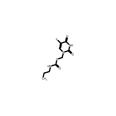 CCCNC(=O)OCn1cc(F)c(=O)[nH]c1=O